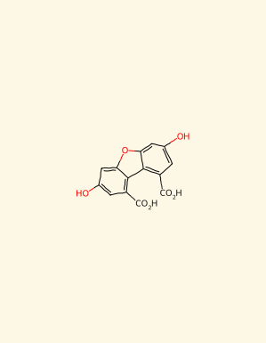 O=C(O)c1cc(O)cc2oc3cc(O)cc(C(=O)O)c3c12